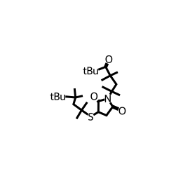 CC(C)(CC(C)(C)C(C)(C)C)SC1CC(=O)N(C(C)(C)CC(C)(C)C(=O)C(C)(C)C)C1=O